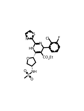 CCOC(=O)C1=C([C@@H]2C[C@H](NS(C)(=O)=O)CO2)NC(c2nccs2)=NC1c1cccc(F)c1Cl